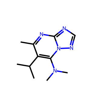 Cc1nc2ncnn2c(N(C)C)c1C(C)C